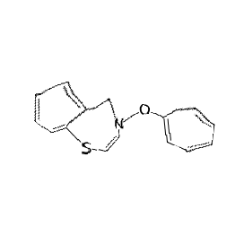 C1=CN(Oc2ccccc2)Cc2ccccc2S1